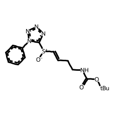 CC(C)(C)OC(=O)NCC/C=C/[S+]([O-])c1nnnn1-c1ccccc1